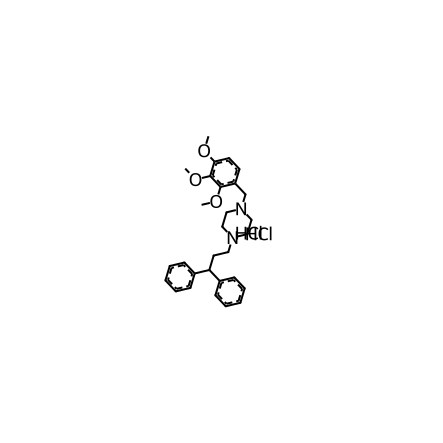 COc1ccc(CN2CCN(CCC(c3ccccc3)c3ccccc3)CC2)c(OC)c1OC.Cl.Cl